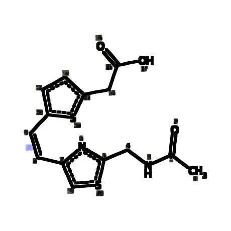 CC(=O)NCc1nc(/C=C\c2ccc(CC(=O)O)s2)cs1